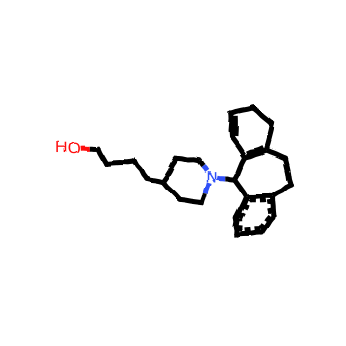 OCCCCC1CCN(C2C3=C(CCC=C3)CCc3ccccc32)CC1